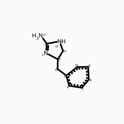 NC1=NC(Cc2ccccc2)CN1